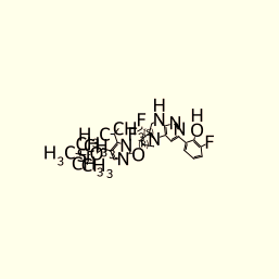 CC(C)c1nc(O[C@H]2CN3c4cc(-c5cccc(F)c5O)nnc4NC[C@]3(C(F)F)C2)ncc1CO[Si](C)(C)C(C)(C)C